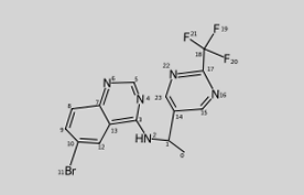 CC(Nc1ncnc2ccc(Br)cc12)c1cnc(C(F)(F)F)nc1